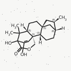 C[C@@H]1C[C@]23CC[C@H]4C(C)(C)C5(O)C(=O)OC[C@@]4(C=C5O)[C@H]2CC[C@@H]1C3